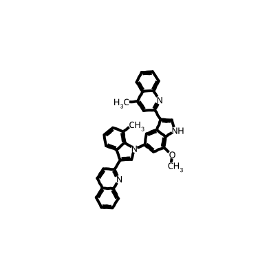 COc1cc(-n2cc(-c3ccc4ccccc4n3)c3cccc(C)c32)cc2c(-c3cc(C)c4ccccc4n3)c[nH]c12